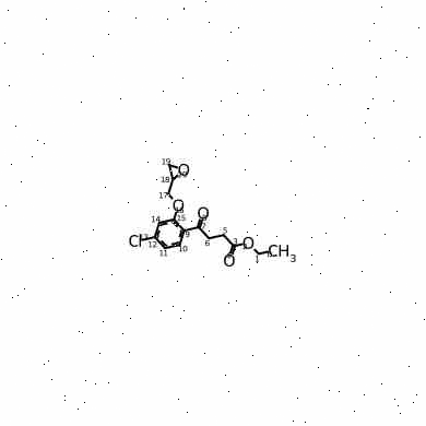 CCOC(=O)CCC(=O)c1ccc(Cl)cc1OCC1CO1